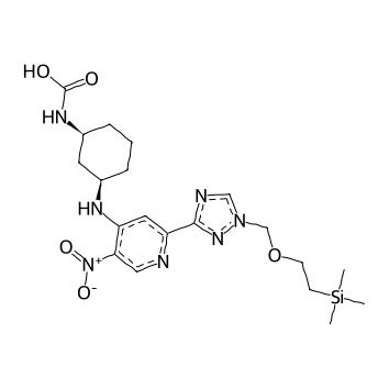 C[Si](C)(C)CCOCn1cnc(-c2cc(N[C@@H]3CCC[C@H](NC(=O)O)C3)c([N+](=O)[O-])cn2)n1